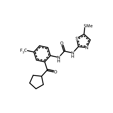 CSc1cnc(NC(=O)Nc2ccc(C(F)(F)F)cc2C(=O)C2CCCC2)s1